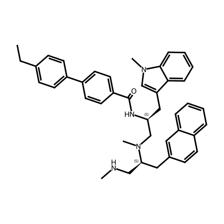 CCc1ccc(-c2ccc(C(=O)N[C@@H](Cc3cn(C)c4ccccc34)CN(C)[C@H](CNC)Cc3ccc4ccccc4c3)cc2)cc1